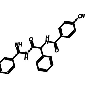 N#Cc1ccc(C(=O)NC(C(=O)NC(=N)c2ccccc2)c2ccccc2)cc1